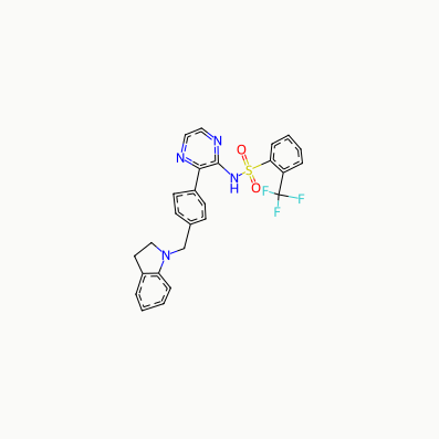 O=S(=O)(Nc1nccnc1-c1ccc(CN2CCc3ccccc32)cc1)c1ccccc1C(F)(F)F